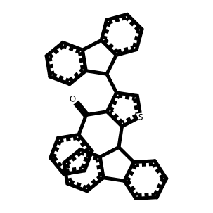 O=C(c1ccccc1)c1c(C2c3ccccc3-c3ccccc32)csc1C1c2ccccc2-c2ccccc21